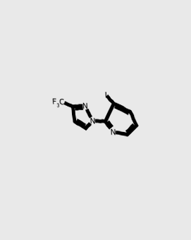 FC(F)(F)c1c[c]n(-c2ncccc2I)n1